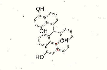 Oc1ccc(O)c2c(C(c3cccc4ccccc34)c3cccc4c(O)ccc(O)c34)cccc12